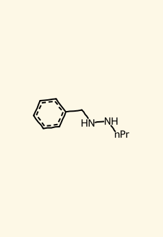 CCCNNCc1ccccc1